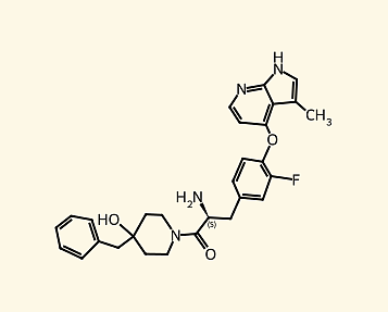 Cc1c[nH]c2nccc(Oc3ccc(C[C@H](N)C(=O)N4CCC(O)(Cc5ccccc5)CC4)cc3F)c12